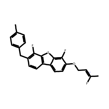 C/C(F)=C/COc1ccc2c(sc3c(F)c(Cc4ccc(C)cc4)ccc32)c1F